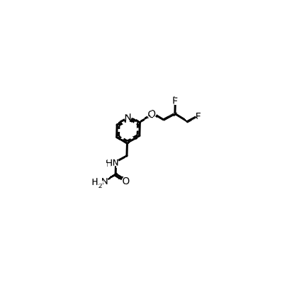 NC(=O)NCc1ccnc(OCC(F)CF)c1